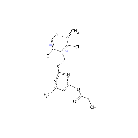 C=C/C(Cl)=C(CSc1nc(OC(=O)CO)cc(C(F)(F)F)n1)\C(C)=C/N